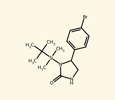 CC(C)(C)[Si](C)(C)N1C(=O)NCC1c1ccc(Br)cc1